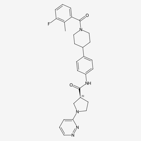 Cc1c(F)cccc1C(=O)N1CCC(c2ccc(NC(=O)[C@H]3CCN(c4cccnn4)C3)cc2)CC1